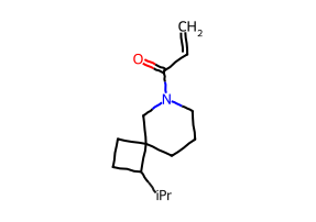 C=CC(=O)N1CCCC2(CCC2C(C)C)C1